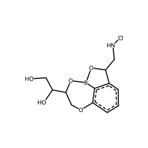 OCC(O)C1COc2cccc3c2B(OC3CNCl)O1